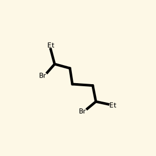 CCC(Br)CCCC(Br)CC